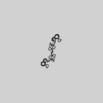 COc1cccc2ccn(CC(OC(=O)/C=C/C(=O)OC(Cn3ccc4cccc(OC)c43)N(C)C)N(C)C)c12